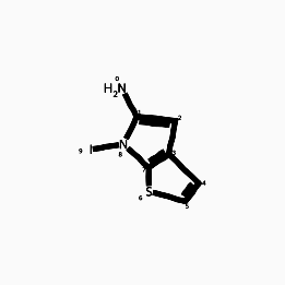 Nc1cc2ccsc2n1I